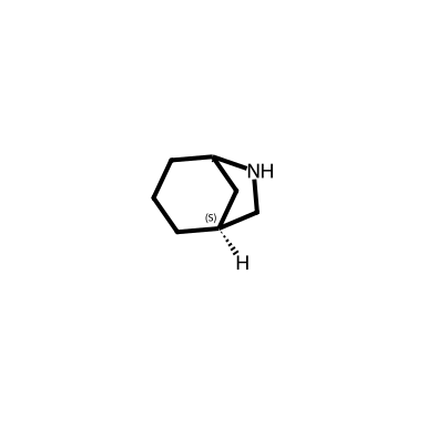 C1C[C]2C[C@H](C1)CN2